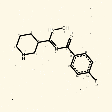 O=C(N=C(NO)C1CCCNC1)c1ccc(F)cc1